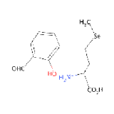 C[Se]CCC(N)C(=O)O.O=Cc1ccccc1O